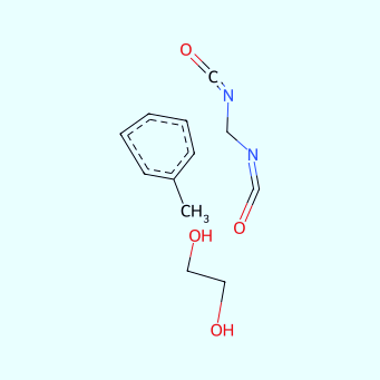 Cc1ccccc1.O=C=NCN=C=O.OCCO